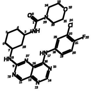 O=C(NC1CCCC(Nc2ncc3ncnc(Nc4ccc(F)c(Cl)c4)c3n2)C1)N1CCOCC1